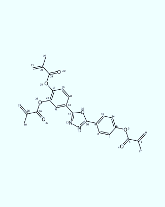 C=C(C)C(=O)Oc1ccc(-c2nnc(-c3ccc(OC(=O)C(=C)C)c(OC(=O)C(=C)C)c3)o2)cc1